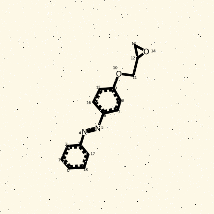 c1ccc(N=Nc2ccc(OCC3CO3)cc2)cc1